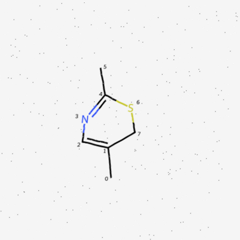 CC1=CN=C(C)SC1